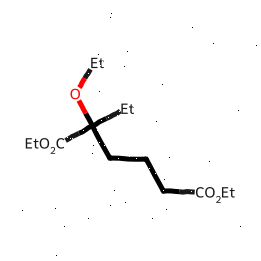 CCOC(=O)CCCC(CC)(OCC)C(=O)OCC